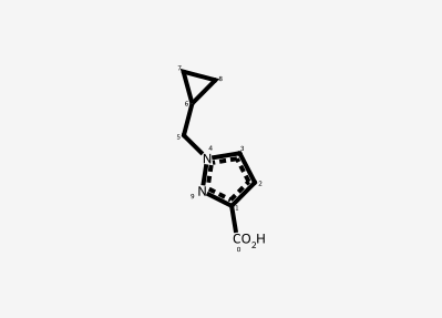 O=C(O)c1ccn(CC2CC2)n1